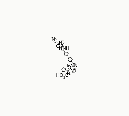 CN1CCC(C(=O)N2CCC[C@H]2c2ncc(-c3ccc(-c4ccc(-c5cnc([C@@H]6CCCN6C(=O)[C@@H](c6ccccc6)N(C)C(=O)O)[nH]5)cc4)cc3)[nH]2)CC1